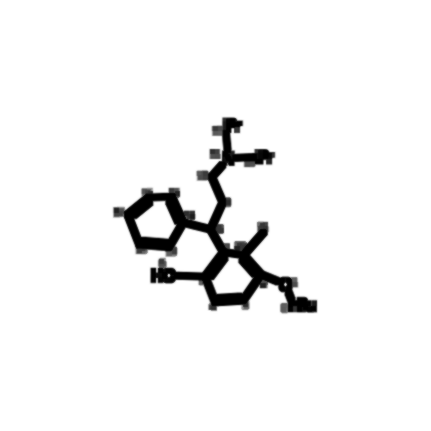 CCCCOc1ccc(O)c(C(CCN(C(C)C)C(C)C)c2ccccc2)c1C